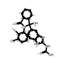 O=C(O)Nc1nc2cc(C3(O)c4ccccc4C(=O)N3c3cccc(Cl)c3F)ccc2[nH]1